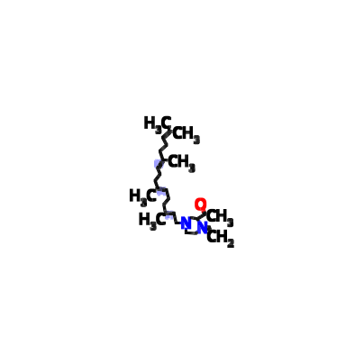 C=CN1CCN(C/C=C(\C)CC/C=C(\C)CC/C=C(\C)CCC=C(C)C)CC1C(C)=O